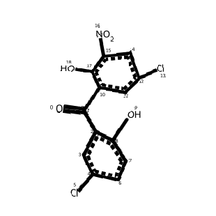 O=C(c1cc(Cl)ccc1O)c1cc(Cl)cc([N+](=O)[O-])c1O